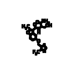 Cc1oc2ccc(OCc3scnc3C(F)(F)F)cc2c1C(=O)NC(CO)C(N)=O